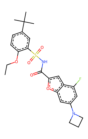 CCOc1ccc(C(C)(C)C)cc1S(=O)(=O)NC(=O)c1cc2c(F)cc(N3CCC3)cc2o1